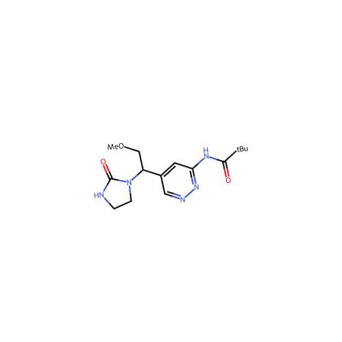 COCC(c1cnnc(NC(=O)C(C)(C)C)c1)N1CCNC1=O